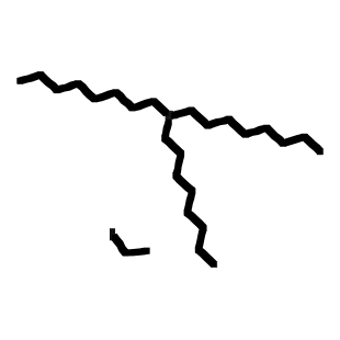 CCCCCCCCP(CCCCCCCC)CCCCCCCC.CCI